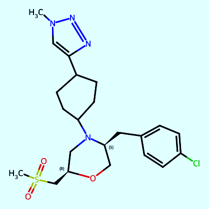 Cn1cc(C2CCC(N3C[C@H](CS(C)(=O)=O)OC[C@@H]3Cc3ccc(Cl)cc3)CC2)nn1